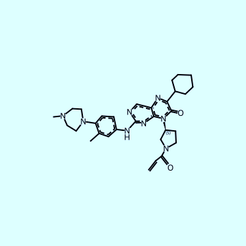 C=CC(=O)N1CC[C@H](n2c(=O)c(C3CCCCC3)nc3cnc(Nc4ccc(N5CCN(C)CC5)c(C)c4)nc32)C1